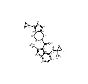 Cc1oc2ncnc(NC3(C)CC3)c2c1C(=O)N1CCn2c(cnc2C2CC2)C1